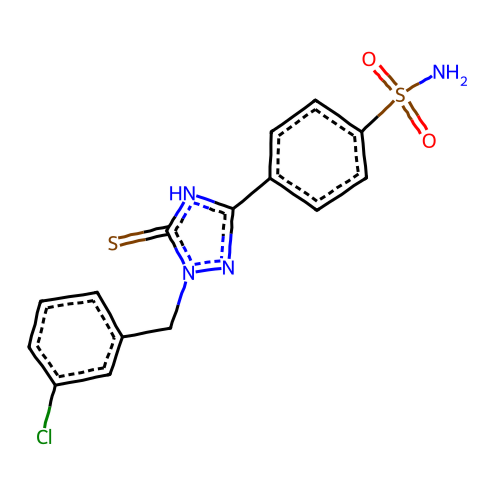 NS(=O)(=O)c1ccc(-c2nn(Cc3cccc(Cl)c3)c(=S)[nH]2)cc1